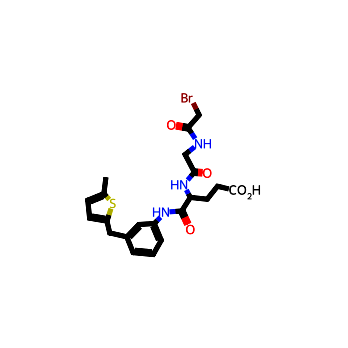 Cc1ccc(Cc2cccc(NC(=O)C(CCC(=O)O)NC(=O)CNC(=O)CBr)c2)s1